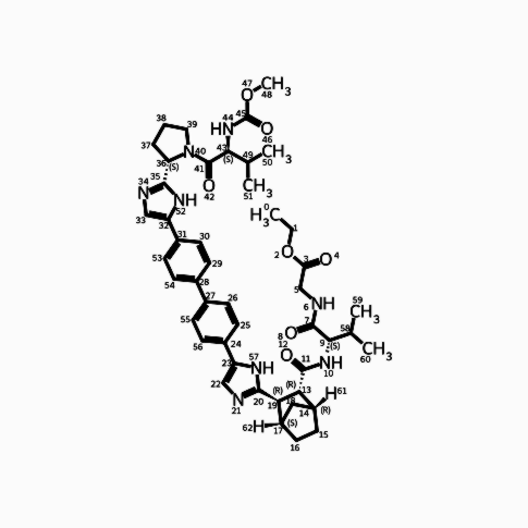 CCOC(=O)CNC(=O)[C@@H](NC(=O)[C@@H]1[C@@H]2CC[C@@H](C2)[C@H]1c1ncc(-c2ccc(-c3ccc(-c4cnc([C@@H]5CCCN5C(=O)[C@@H](NC(=O)OC)C(C)C)[nH]4)cc3)cc2)[nH]1)C(C)C